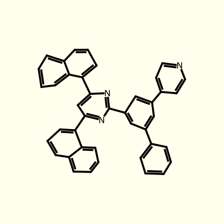 c1ccc(-c2cc(-c3ccncc3)cc(-c3nc(-c4cccc5ccccc45)cc(-c4cccc5ccccc45)n3)c2)cc1